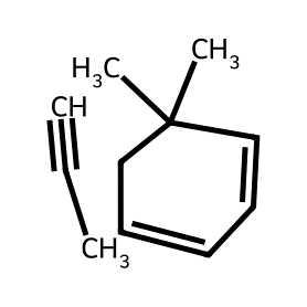 C#CC.CC1(C)C=CC=CC1